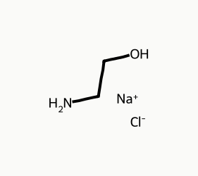 NCCO.[Cl-].[Na+]